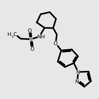 CCS(=O)(=O)NC1CCCCC1COc1ccc(-n2cccn2)cc1